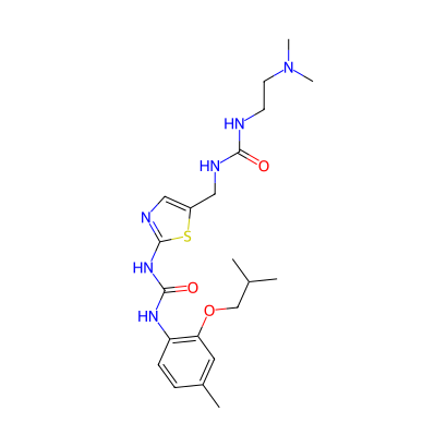 Cc1ccc(NC(=O)Nc2ncc(CNC(=O)NCCN(C)C)s2)c(OCC(C)C)c1